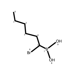 CCCCCC(Br)B(O)O